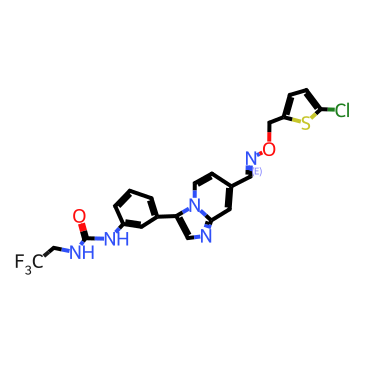 O=C(NCC(F)(F)F)Nc1cccc(-c2cnc3cc(/C=N/OCc4ccc(Cl)s4)ccn23)c1